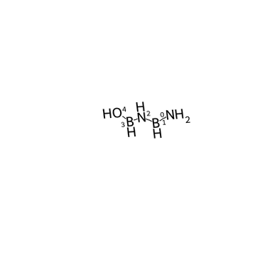 NBNBO